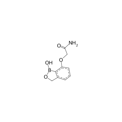 NC(=O)COc1cccc2c1B(O)OC2